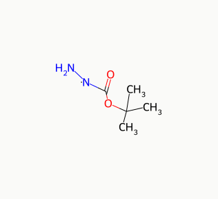 CC(C)(C)OC(=O)[N]N